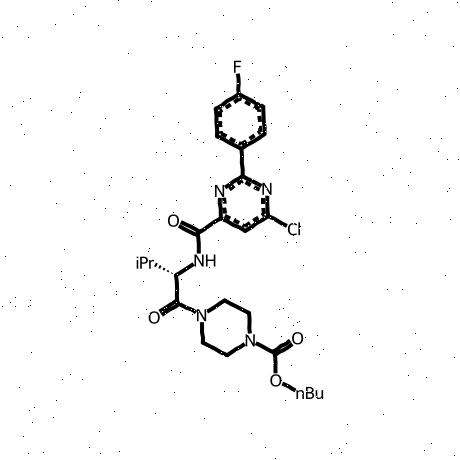 CCCCOC(=O)N1CCN(C(=O)[C@@H](NC(=O)c2cc(Cl)nc(-c3ccc(F)cc3)n2)C(C)C)CC1